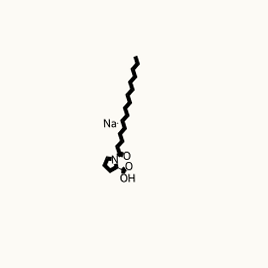 CCCCCCCCCCCCCCCC(=O)N1CCC[C@H]1C(=O)O.[Na]